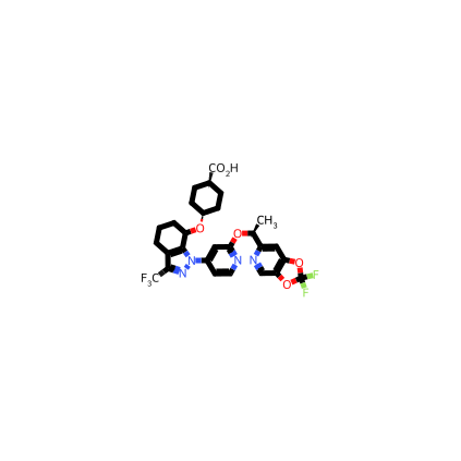 C[C@H](Oc1cc(-n2nc(C(F)(F)F)c3c2C(O[C@H]2CC[C@H](C(=O)O)CC2)CCC3)ccn1)c1cc2c(cn1)OC(F)(F)O2